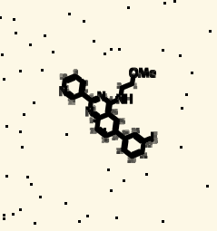 COCCNc1nc(-c2cccnc2)nc2ccc(-c3cccc(F)c3)cc12